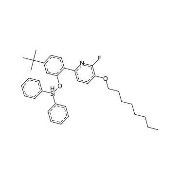 CCCCCCCCOc1ccc(-c2ccc(C(C)(C)C)cc2O[SiH](c2ccccc2)c2ccccc2)nc1F